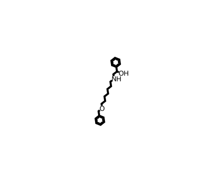 OC(CNCCCCCCCOCc1ccccc1)c1ccccc1